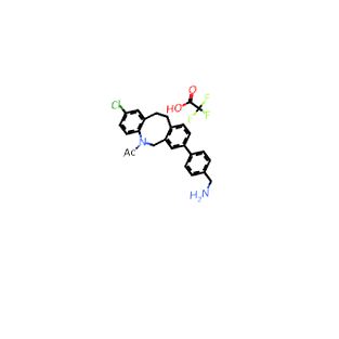 CC(=O)N1Cc2cc(-c3ccc(CN)cc3)ccc2CCc2cc(Cl)ccc21.O=C(O)C(F)(F)F